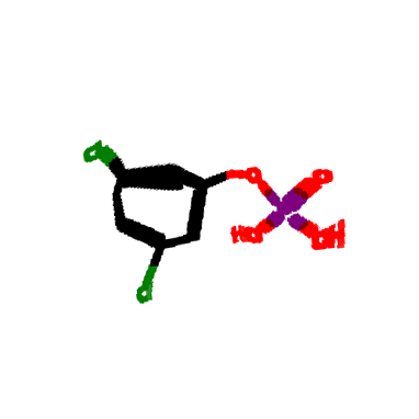 O=P(O)(O)Oc1cc(Cl)cc(Cl)c1